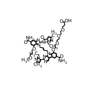 CCn1nc(C)cc1C(=O)Nc1nc2cc(C(N)=O)cc(OCCCOC)c2n1CC=CCn1c2nc(-c3cc(C)nn3CC)ncc2c2cc(C(N)=O)cc(OCCOCCOCCOCCC(=O)O)c21